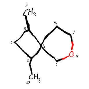 CC1CC(C)C12CCOC2